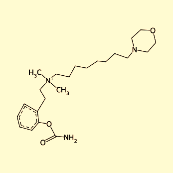 C[N+](C)(CCCCCCCCN1CCOCC1)CCc1ccccc1OC(N)=O